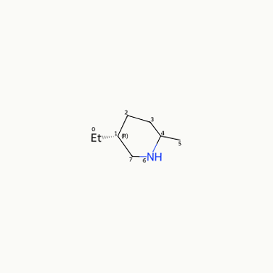 CC[C@@H]1CCC(C)NC1